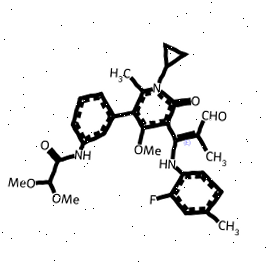 COc1c(-c2cccc(NC(=O)C(OC)OC)c2)c(C)n(C2CC2)c(=O)c1/C(Nc1ccc(C)cc1F)=C(/C)C=O